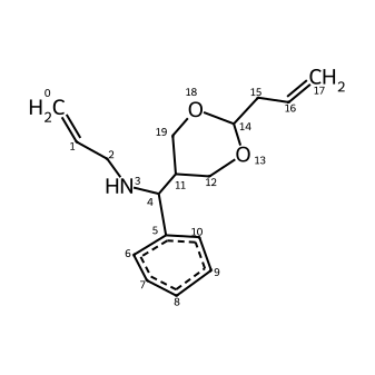 C=CCNC(c1ccccc1)C1COC(CC=C)OC1